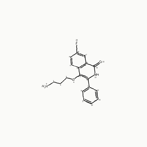 NCCCOc1c(-c2ccccc2)[nH]c(=O)c2cc(F)ccc12